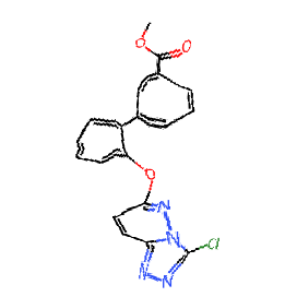 COC(=O)c1cccc(-c2ccccc2Oc2ccc3nnc(Cl)n3n2)c1